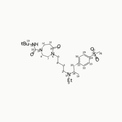 CCN(CCCCN1CCN(C(=O)NC(C)(C)C)CCC1=O)C(C)Cc1ccc(S(C)(=O)=O)cc1